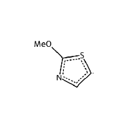 COc1nc[c]s1